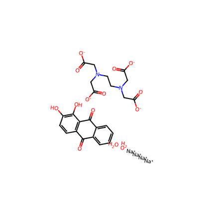 O.O.O=C([O-])CN(CCN(CC(=O)[O-])CC(=O)[O-])CC(=O)[O-].O=C1c2ccccc2C(=O)c2c1ccc(O)c2O.[Na+].[Na+].[Na+].[Na+]